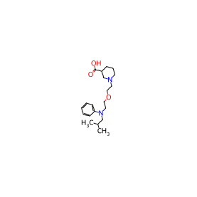 CC(C)CN(CCOCCN1CCCC(C(=O)O)C1)c1ccccc1